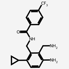 NCc1c(N)ccc(C2CC2)c1CNC(=O)c1ccc(C(F)(F)F)cc1